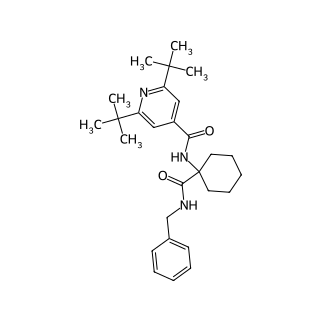 CC(C)(C)c1cc(C(=O)NC2(C(=O)NCc3ccccc3)CCCCC2)cc(C(C)(C)C)n1